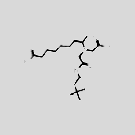 CC(CCCCCCC(=O)O)N(CC(=O)O)CC(=O)NCCC(C)(C)C